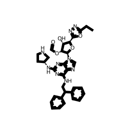 CCc1nnc([C@H]2O[C@@H](n3cnc4c(NCC(c5ccccc5)c5ccccc5)nc(N[C@@H]5CCNC5)nc43)[C@H](OC=O)[C@@H]2O)o1